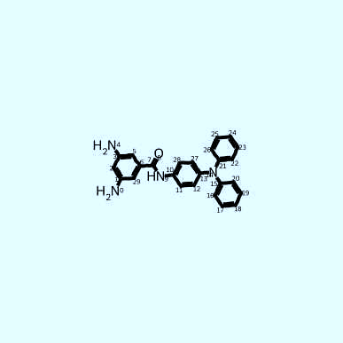 Nc1cc(N)cc(C(=O)Nc2ccc(N(c3ccccc3)c3ccccc3)cc2)c1